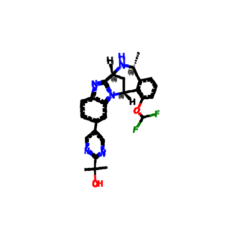 C[C@H]1N[C@@H]2C[C@H](c3c(OC(F)F)cccc31)n1c2nc2ccc(-c3cnc(C(C)(C)O)nc3)cc21